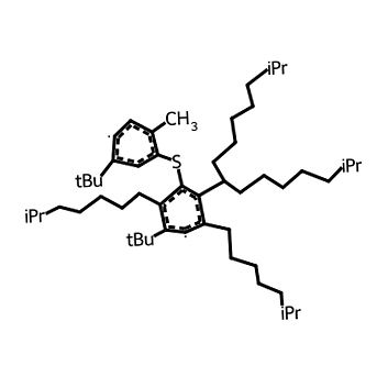 Cc1c[c]c(C(C)(C)C)cc1Sc1c(CCCCCC(C)C)c(C(C)(C)C)[c]c(CCCCCC(C)C)c1C(CCCCCC(C)C)CCCCCC(C)C